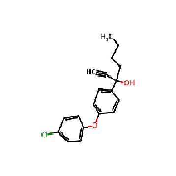 C#CC(O)(CCCC)c1ccc(Oc2ccc(Cl)cc2)cc1